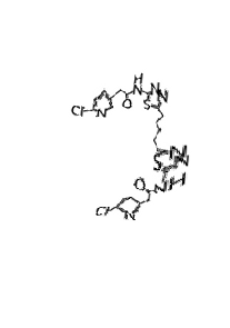 O=C(Cc1ccc(Cl)nc1)Nc1nnc(CCCCc2nnc(NC(=O)Cc3ccc(Cl)nc3)s2)s1